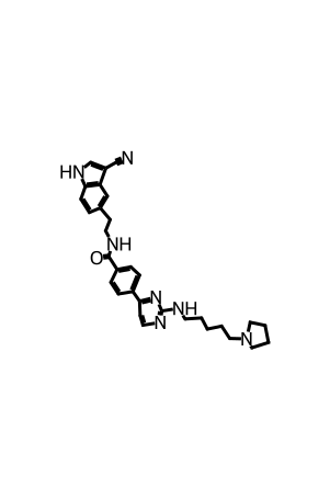 N#Cc1c[nH]c2ccc(CCNC(=O)c3ccc(-c4ccnc(NCCCCCN5CCCC5)n4)cc3)cc12